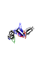 Cc1cccc(CS(=O)(=O)NC(=O)c2c[nH]c3nc(-c4ccccc4)c(-c4cc(Cl)c5ncccc5c4)nc3c2=O)c1